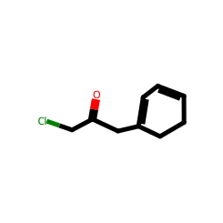 O=C(CCl)CC1=CC=CCC1